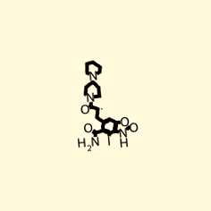 NC(=O)c1c(C[CH]C(=O)N2CCC(N3CCCCC3)CC2)cc2oc(=O)[nH]c2c1I